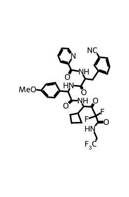 COc1ccc(C(NC(=O)C(Cc2cccc(C#N)c2)NC(=O)c2ccccn2)C(=O)NC(C(=O)C(F)(F)C(=O)NCC(F)(F)F)C2CCC2)cc1